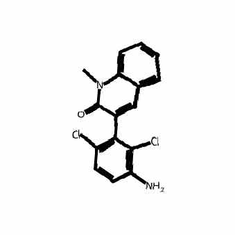 Cn1c(=O)c(-c2c(Cl)ccc(N)c2Cl)cc2ccccc21